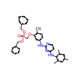 Cc1cc(C)c(Nc2ccnc(Nc3ccc(C#N)c(OCP(=O)(OCc4ccccc4)OCc4ccccc4)c3)n2)c(C)c1